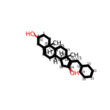 C[C@]12CC[C@H](O)CC1=CC[C@@H]1[C@@H]2CC[C@]2(C)C(CC3CCCCC3)=C(O)C[C@@H]12